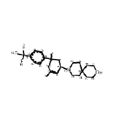 CC(C)=CC(CC(C)(C)c1ccc(C(F)(F)F)cc1)N1CCC2(CCOCC2)CC1